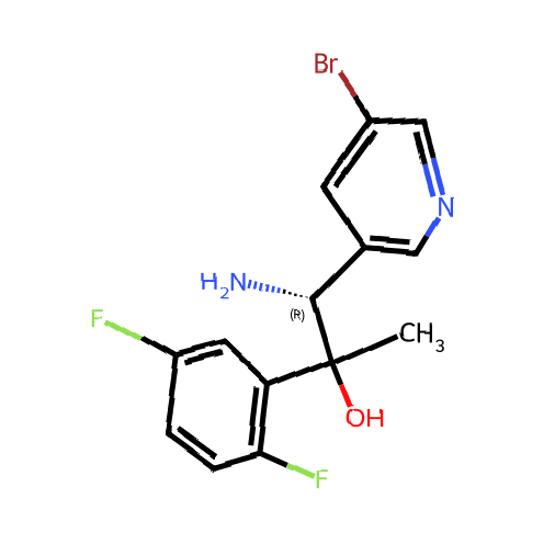 CC(O)(c1cc(F)ccc1F)[C@H](N)c1cncc(Br)c1